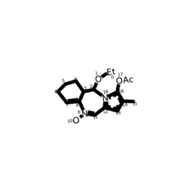 CCOC1C2CCCC=C2[N+]([O-])=Cc2cc(C)c(OC(C)=O)n21